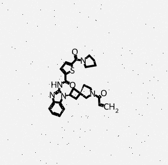 C=CC(=O)N1CC[C@]2(C1)C[C@H](n1c(NC(=O)c3ccc(C(=O)N4CCCC4)s3)nc3ccccc31)C2